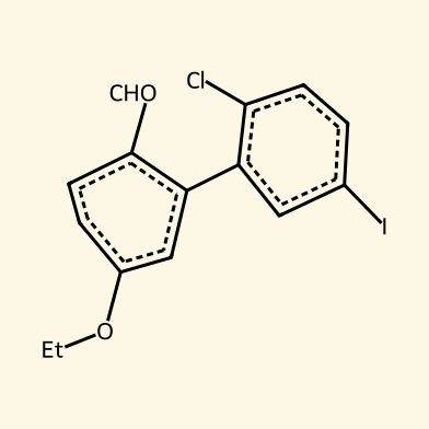 CCOc1ccc(C=O)c(-c2cc(I)ccc2Cl)c1